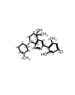 Cc1cc(Cl)cc(O)c1-c1cc2c(nn1)N([C@@H]1CCCN(C)C1)CCC2(C)O